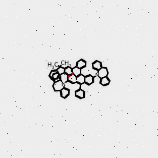 CC1(C)c2ccccc2-c2ccc(-c3ccccc3-c3c4ccc(N5c6ccccc6CCc6ccccc65)cc4c(-c4ccccc4)c4ccc(N5c6ccccc6CCc6ccccc65)cc34)cc21